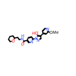 COc1cc(-c2cnn(-c3ccc(C(=O)NCCC4CCCCO4)cn3)c2O)ccn1